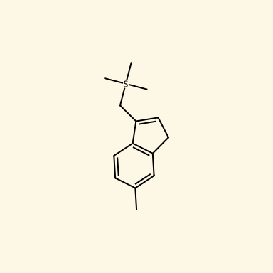 Cc1ccc2c(c1)CC=C2CS(C)(C)C